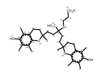 Cc1c(C)c2c(c(C)c1O)CCC(C)(CCC(CCC1(C)CCc3c(C)c(O)c(C)c(C)c3O1)(SCCC(=O)O)C(=O)O)O2